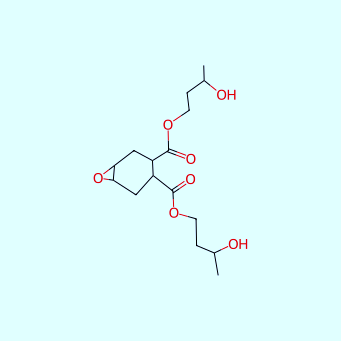 CC(O)CCOC(=O)C1CC2OC2CC1C(=O)OCCC(C)O